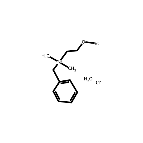 CCOCC[N+](C)(C)Cc1ccccc1.O.[Cl-]